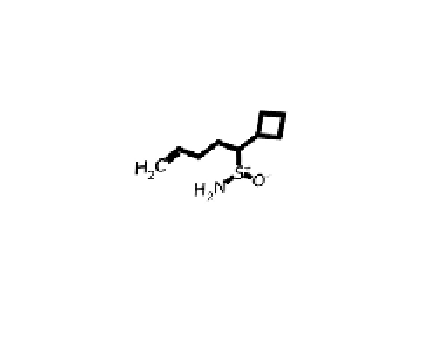 C=CCCC(C1CCC1)[S+](N)[O-]